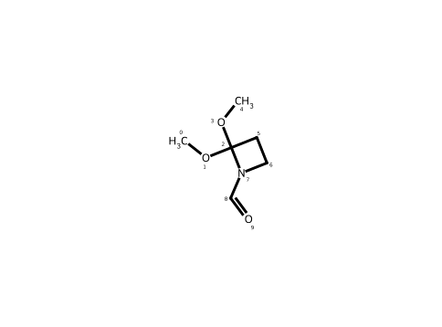 COC1(OC)CCN1C=O